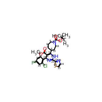 COC(=O)C1=C(C2CCCN(C(=O)OC(C)(C)C)CC2)NC(c2nccs2)=NC1c1ccc(F)cc1Cl